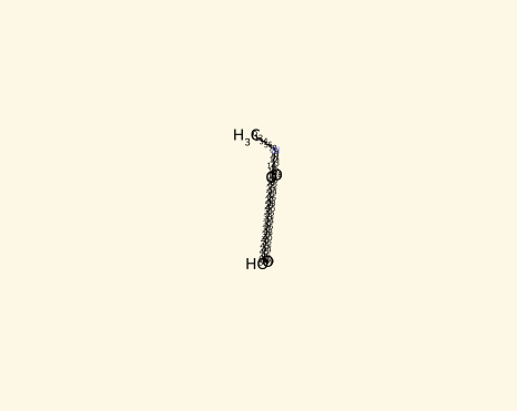 CCCCCCCC/C=C\CCCCCCCC(=O)OCCCCCCCC=CCCCCCCCCCCCCCCCCCCCC(=O)O